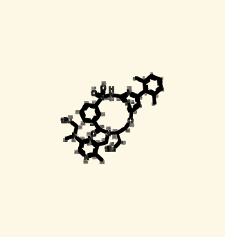 Cc1cccc(C)c1-c1cc2nc(n1)NS(=O)(=O)c1cccc(c1)C(=O)N(Cc1nc(N(C)CC(C)(C)C)cnc1C)[C@H](CC(C)(C)C)CO2